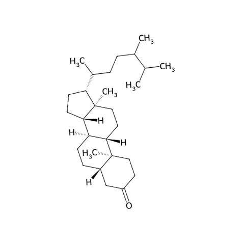 CC(C)C(C)CCC(C)[C@H]1CC[C@H]2[C@@H]3CC[C@H]4CC(=O)CC[C@]4(C)[C@H]3CC[C@]12C